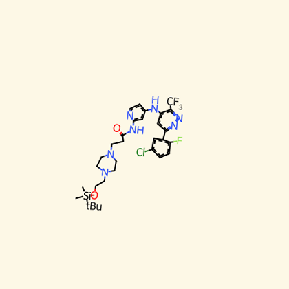 CC(C)(C)[Si](C)(C)OCCN1CCN(CCC(=O)Nc2cc(Nc3cc(-c4cc(Cl)ccc4F)nnc3C(F)(F)F)ccn2)CC1